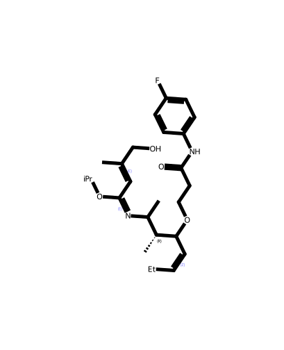 CC/C=C\C(OCCC(=O)Nc1ccc(F)cc1)[C@H](C)C(C)/N=C(\C=C(/C)CO)OC(C)C